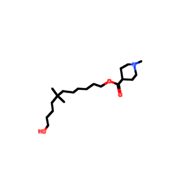 CN1CCC(C(=O)OCCCCCCC(C)(C)CCCCO)CC1